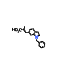 CC(=Cc1ccc2ccn(Cc3ccccc3)c2c1)C(=O)O